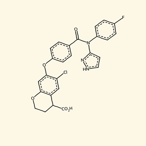 O=C(O)C1CCOc2cc(Oc3ccc(C(=O)N(c4ccc(F)cc4)c4cc[nH]n4)cc3)c(Cl)cc21